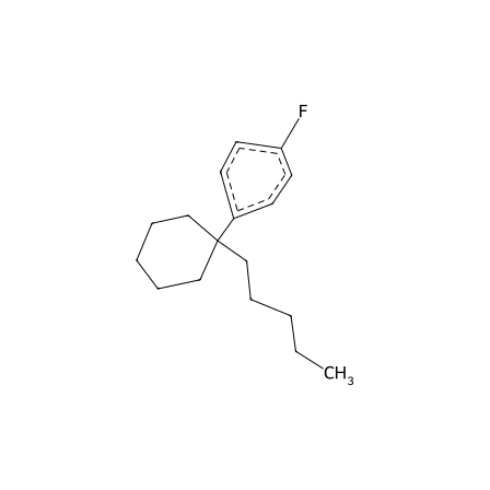 CCCCCC1(c2ccc(F)cc2)CCCCC1